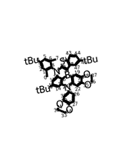 Cc1cc(C(C)(C)C)cc(C)c1N1c2cc(C(C)(C)C)cc3c2B(c2cc4c(cc2N3c2ccc3c(c2)OCCO3)OCCO4)c2c1sc1ccc(C(C)(C)C)cc21